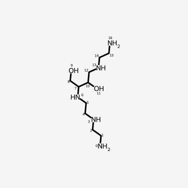 NCCNCCNC(CO)C(O)CNCCN